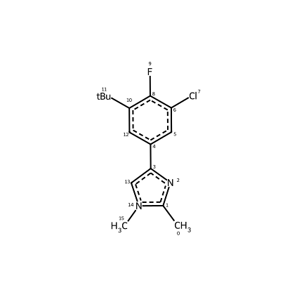 Cc1nc(-c2cc(Cl)c(F)c(C(C)(C)C)c2)cn1C